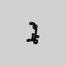 CCCCN1CCN(CCCNC(=O)c2nn(CCC)c3ccccc23)CC1